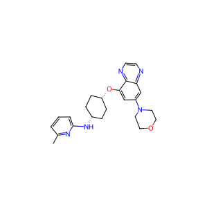 Cc1cccc(N[C@H]2CC[C@@H](Oc3cc(N4CCOCC4)cc4nccnc34)CC2)n1